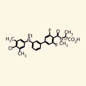 CCN(c1cccc(-c2cc(F)c(C(=O)N(C)[C@@H](C)C(=O)O)c(F)c2)c1)c1cc(C)c(Cl)c(C)c1